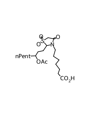 CCCCCC(CCC1N(CCCCCCC(=O)O)C(=O)CS1(=O)=O)OC(C)=O